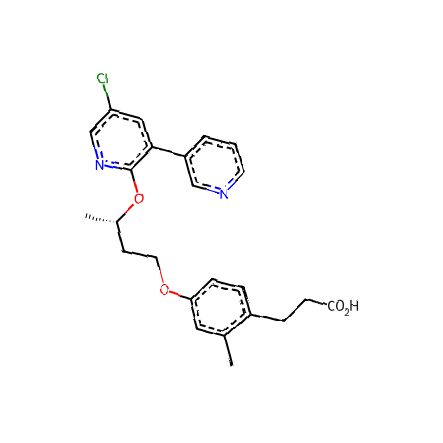 Cc1cc(OCC[C@H](C)Oc2ncc(Cl)cc2-c2cccnc2)ccc1CCC(=O)O